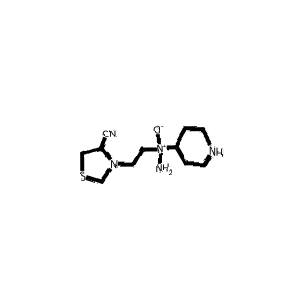 N#CC1CSCN1CC[N+](N)([O-])C1CCNCC1